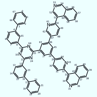 c1ccc(-c2cccc(-c3nc(-c4cccc(-c5ccccc5)c4)nc(-c4cc(-c5ccc(-c6cncc7ccccc67)nc5)cc(-c5ccc(-c6cncc7ccccc67)nc5)c4)n3)c2)cc1